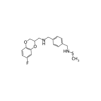 CSNCc1ccc(CNCC2COc3ccc(F)cc3O2)cc1